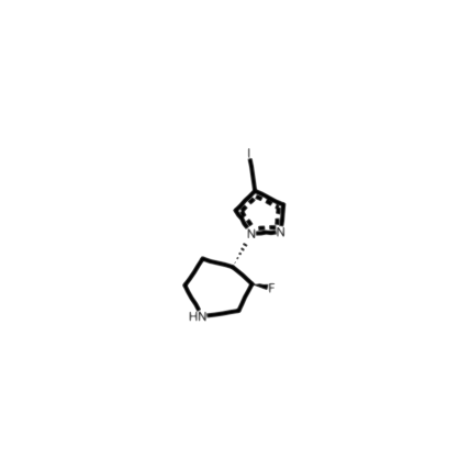 F[C@H]1CNCC[C@@H]1n1cc(I)cn1